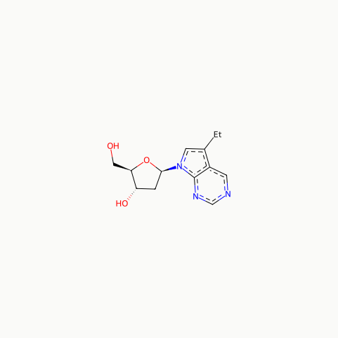 CCc1cn([C@H]2C[C@H](O)[C@@H](CO)O2)c2ncncc12